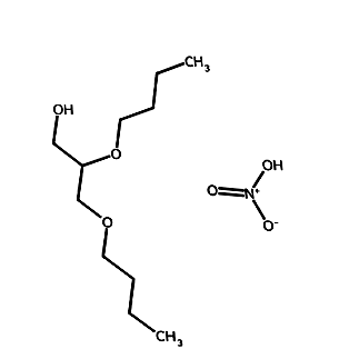 CCCCOCC(CO)OCCCC.O=[N+]([O-])O